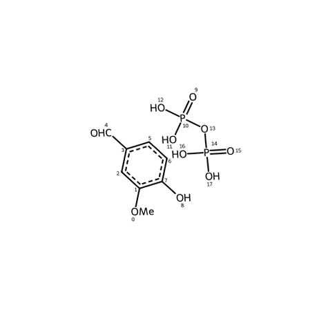 COc1cc(C=O)ccc1O.O=P(O)(O)OP(=O)(O)O